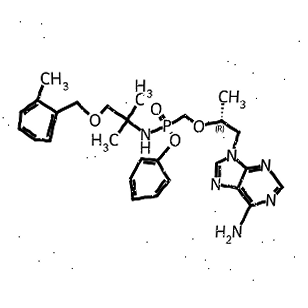 Cc1ccccc1COCC(C)(C)NP(=O)(CO[C@H](C)Cn1cnc2c(N)ncnc21)Oc1ccccc1